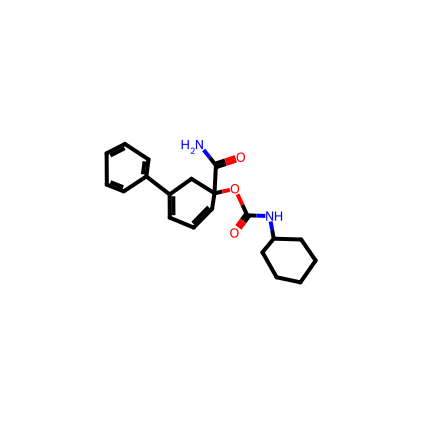 NC(=O)C1(OC(=O)NC2CCCCC2)C=CC=C(c2ccccc2)C1